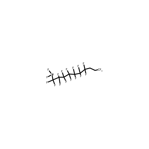 FC(F)(F)CCC(F)(F)C(F)(F)C(F)(F)C(F)(F)C(F)(F)C(F)(F)C(F)(F)[Si](F)(F)F